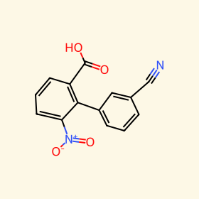 N#Cc1cccc(-c2c(C(=O)O)cccc2[N+](=O)[O-])c1